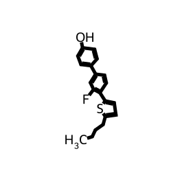 CCCCc1ccc(-c2ccc(-c3ccc(O)cc3)cc2F)s1